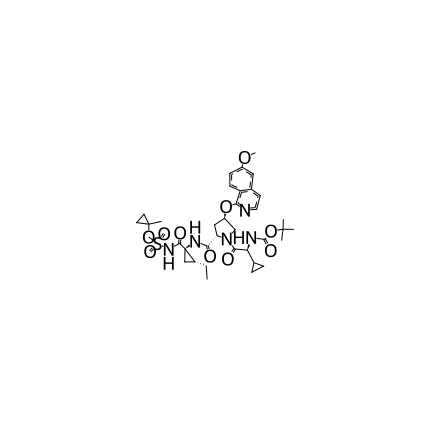 CC[C@@H]1C[C@]1(NC(=O)[C@@H]1C[C@@H](Oc2nccc3cc(OC)ccc23)CN1C(=O)[C@@H](NC(=O)OC(C)(C)C)C1CC1)C(=O)NS(=O)(=O)OC1(C)CC1